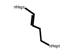 [CH2]CCCCCCC=CCCCCCCCC[CH2]